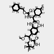 COCC(c1ccc(O)c(NC(=O)[C@@H](NC(=O)OCc2ccccc2)C2CCC(F)CC2)c1)N1CC(F)(F)CNC1=O